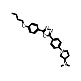 CCCCOc1ccc(-c2nnc(-c3ccc(N4CCC(N(C)C)C4)cc3)o2)cc1